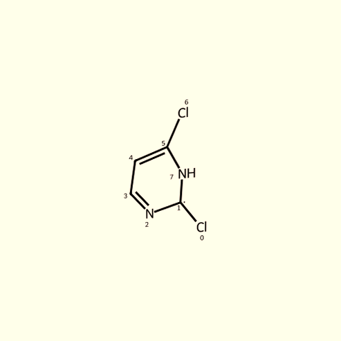 Cl[C]1N=CC=C(Cl)N1